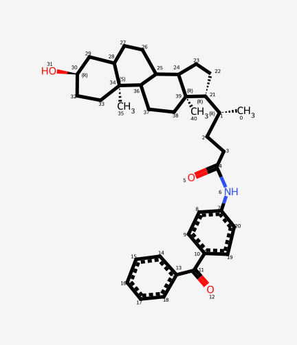 C[C@H](CCC(=O)Nc1ccc(C(=O)c2ccccc2)cc1)[C@H]1CCC2C3CCC4C[C@H](O)CC[C@]4(C)C3CC[C@@]21C